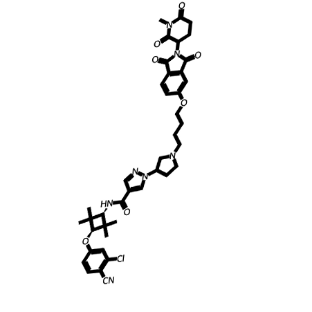 CN1C(=O)CCC(N2C(=O)c3ccc(OCCCCN4CCC(n5cc(C(=O)N[C@H]6C(C)(C)[C@H](Oc7ccc(C#N)c(Cl)c7)C6(C)C)cn5)C4)cc3C2=O)C1=O